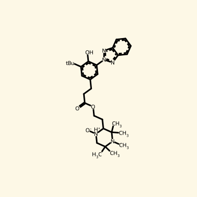 CN1C(C)(C)C[NH+]([O-])C(CCOC(=O)CCc2cc(-n3nc4ccccc4n3)c(O)c(C(C)(C)C)c2)C1(C)C